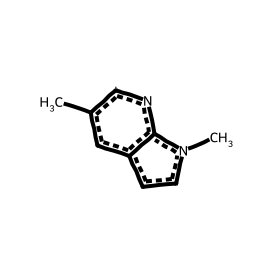 Cc1[c]nc2c(ccn2C)c1